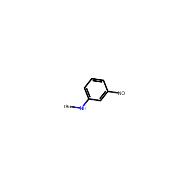 CC(C)(C)Nc1cccc(N=O)c1